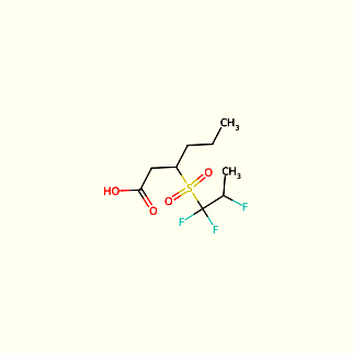 CCCC(CC(=O)O)S(=O)(=O)C(F)(F)C(C)F